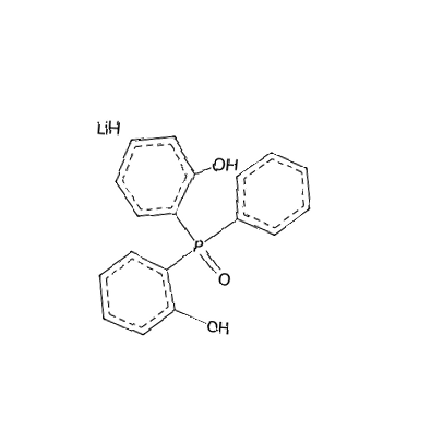 O=P(c1ccccc1)(c1ccccc1O)c1ccccc1O.[LiH]